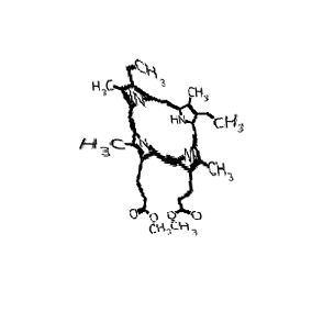 CCC1=C(C)/C2=C/c3[nH]c(c(C)c3CC)/C=C3N=C(/C=c4\[nH]/c(c(C)c4CCC(=O)OC)=C\C1N2)C(CCC(=O)OC)=C\3C